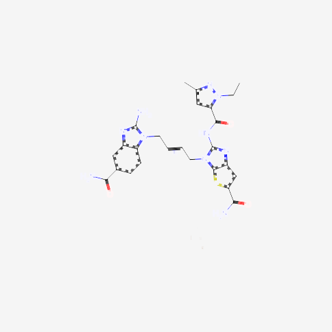 Br.Br.Br.CCn1nc(C)cc1C(=O)Nc1nc2cc(C(N)=O)sc2n1C/C=C/Cn1c(N)nc2cc(C(N)=O)ccc21